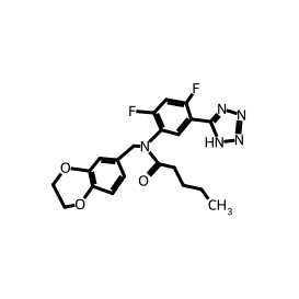 CCCCC(=O)N(Cc1ccc2c(c1)OCCO2)c1cc(-c2nnn[nH]2)c(F)cc1F